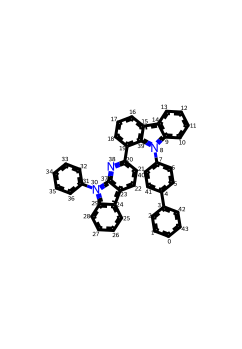 c1ccc(-c2ccc(-n3c4ccccc4c4cccc(-c5ccc6c7ccccc7n(-c7ccccc7)c6n5)c43)cc2)cc1